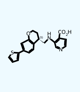 O=C(O)c1ccncc1NC[C@H]1CCOc2cc(-c3cccs3)ccc21